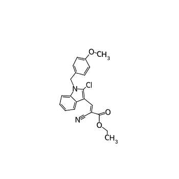 CCOC(=O)C(C#N)=Cc1c(Cl)n(Cc2ccc(OC)cc2)c2ccccc12